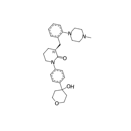 CN1CCN(c2ccccc2C[C@@H]2CCCN(c3ccc(C4(O)CCOCC4)cc3)C2=O)CC1